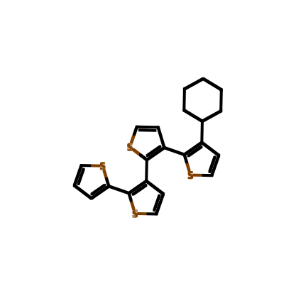 c1csc(-c2sccc2-c2sccc2-c2sccc2C2CCCCC2)c1